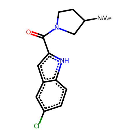 CNC1CCN(C(=O)c2cc3cc(Cl)ccc3[nH]2)C1